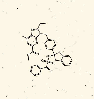 CCc1nc2c(C)cc(C(=O)OC)nc2n1Cc1ccc(C2(NS(=O)(=O)C(=O)c3ccccc3)Cc3ccccc3S2)cc1